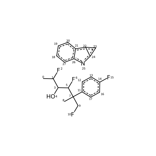 CC(F)C(O)C(F)C(C)(CF)c1ccc(F)cc1.c1ccc2c3cc-3nc2c1